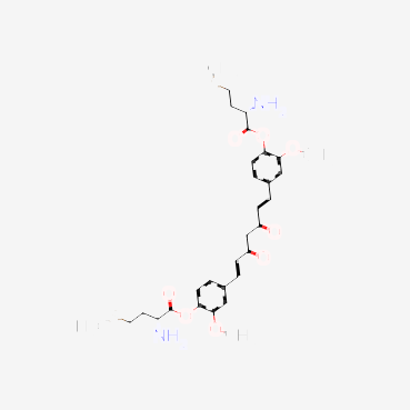 COc1cc(/C=C/C(=O)CC(=O)/C=C/c2ccc(OC(=O)[C@H](N)CCSC)c(OC)c2)ccc1OC(=O)[C@H](N)CCSC